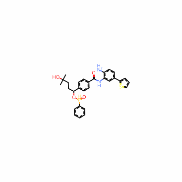 CC(C)(O)CCC(O[PH](=O)c1ccccc1)c1ccc(C(=O)Nc2cc(-c3cccs3)ccc2N)cc1